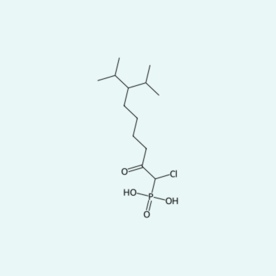 CC(C)C(CCCCC(=O)C(Cl)P(=O)(O)O)C(C)C